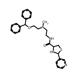 CN(CCNC(=O)C1CSC(c2cccnc2)N1)CCOC(c1ccccc1)c1ccccc1